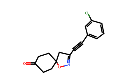 O=C1CCC2(CC1)CC(C#Cc1cccc(Cl)c1)=NO2